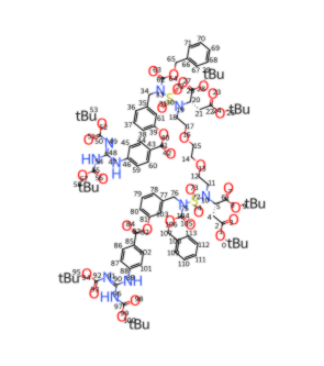 CC(C)(C)OC(=O)C[C@@H](C(=O)OC(C)(C)C)N(CCOCCOCCN([C@@H](CC(=O)OC(C)(C)C)C(=O)OC(C)(C)C)S(=O)(=O)N(Cc1cccc(OC(=O)c2ccc(NC(=NC(=O)OC(C)(C)C)NC(=O)OC(C)(C)C)cc2)c1)C(=O)OCc1ccccc1)S(=O)(=O)N(Cc1cccc(OC(=O)c2ccc(NC(=NC(=O)OC(C)(C)C)NC(=O)OC(C)(C)C)cc2)c1)C(=O)OCc1ccccc1